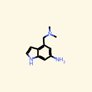 CN(C)Cc1cc(N)cc2[nH]ccc12